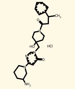 CC(CC(=O)N1CCC(O)(Cn2cnc(N3CCCC(N)C3)cc2=O)CC1)c1ccccc1.Cl